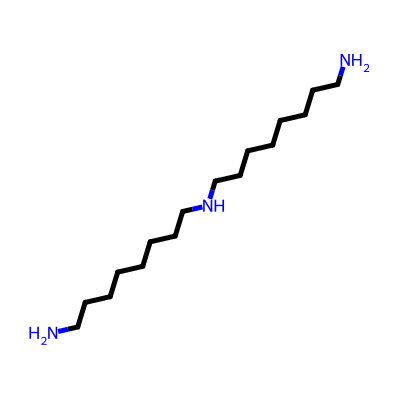 NCCCCCCCCNCCCCCCCCN